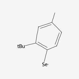 Cc1ccc([Se])c(C(C)(C)C)c1